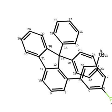 CC(C)(C)c1cc(F)cc(-c2cccc3c2C(c2ccccc2)(c2ccccc2)c2ccccc2-3)c1